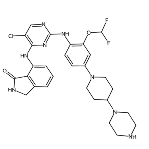 O=C1NCc2cccc(Nc3nc(Nc4ccc(N5CCC(N6CCNCC6)CC5)cc4OC(F)F)ncc3Cl)c21